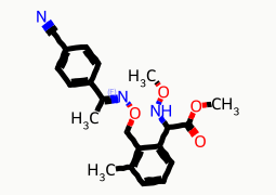 CONC(C(=O)OC)c1cccc(C)c1CO/N=C(\C)c1ccc(C#N)cc1